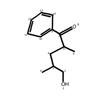 CC(CO)CC(C)C(=O)c1ccccc1